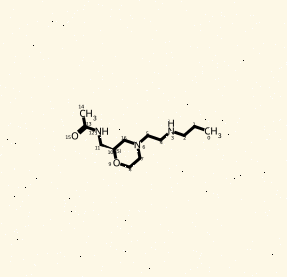 CCCNCCN1CCO[C@@H](CNC(C)=O)C1